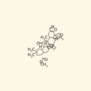 COC(=O)[C@@H]1CC(C)(C)C[C@@H]2C1CC[C@]1(C)[C@@H]2C(=O)C=C2[C@@]3(C)Cc4cnoc4[C@](C)(C=O)[C@@H]3CC[C@]21C